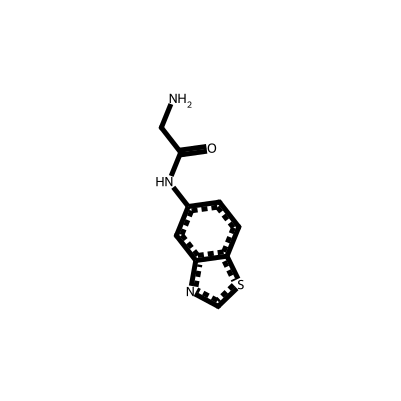 NCC(=O)Nc1ccc2scnc2c1